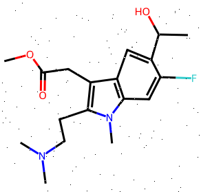 COC(=O)Cc1c(CCN(C)C)n(C)c2cc(F)c(C(C)O)cc12